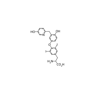 NC(Cc1cc(I)c(Oc2ccc(O)c(Cc3ccc(O)cn3)c2)c(I)c1)C(=O)O